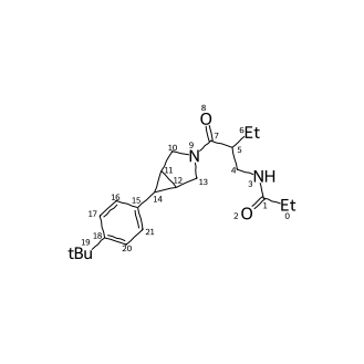 CCC(=O)NCC(CC)C(=O)N1CC2C(C1)C2c1ccc(C(C)(C)C)cc1